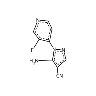 N#Cc1cnn(-c2ccncc2F)c1N